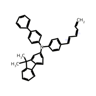 C=C/C=C\C=C\c1ccc(N(c2ccc(-c3ccccc3)cc2)c2ccc3c(c2)C(C)(C)c2ccccc2-3)cc1